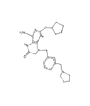 Nc1nc(OC2CCCC2)nc2c1NC(=O)CN2Cc1cccc(CN2CCCC2)c1